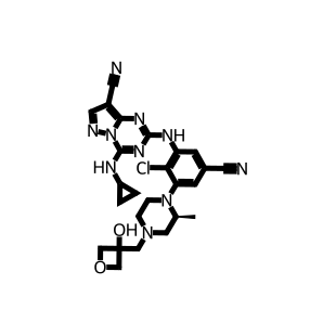 C[C@H]1CN(CC2(O)COC2)CCN1c1cc(C#N)cc(Nc2nc(NC3CC3)n3ncc(C#N)c3n2)c1Cl